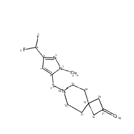 Cn1nc(C(F)F)cc1SN1CCC2(CC1)CC(=O)C2